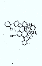 Cc1nc(C)nc(-c2c(-n3c4ccccc4c4ccc(-c5ccccc5C)cc43)cc(C#N)cc2-n2c3ccccc3c3ccc(-c4ccccc4C)cc32)n1